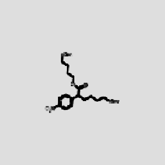 CCCCCCCCCCCCCCOC(=O)C(CCCCCCCCCCCCCC)c1ccc([N+](=O)[O-])cc1